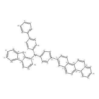 c1ccc(-c2ccc(N(c3ccc(-c4ccc5c(ccc6c7ccccc7ccc56)c4)cc3)c3cccc4c3sc3ccccc34)cc2)cc1